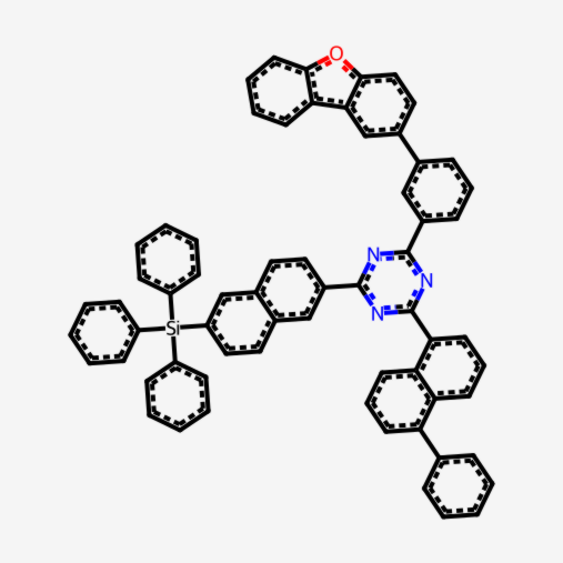 c1ccc(-c2cccc3c(-c4nc(-c5cccc(-c6ccc7oc8ccccc8c7c6)c5)nc(-c5ccc6cc([Si](c7ccccc7)(c7ccccc7)c7ccccc7)ccc6c5)n4)cccc23)cc1